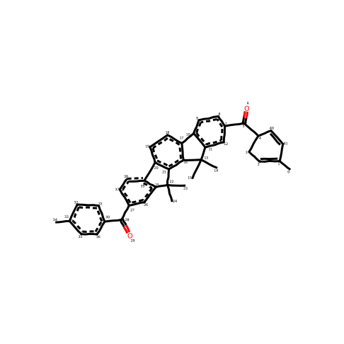 CC1=CCC(C(=O)c2ccc3c(c2)C(C)(C)c2c-3ccc3c2C(C)(C)c2cc(C(=O)c4ccc(C)cc4)ccc2-3)C=C1